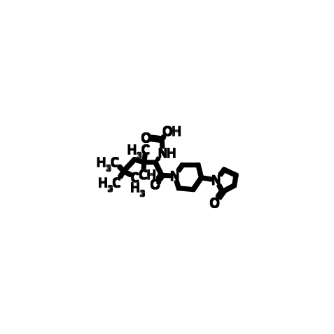 CC(C)(C)CC(C)(C)[C@@H](NC(=O)O)C(=O)N1CCC(N2CCCC2=O)CC1